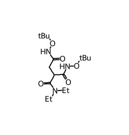 CCN(CC)C(=O)C(CC(=O)NOC(C)(C)C)C(=O)NOC(C)(C)C